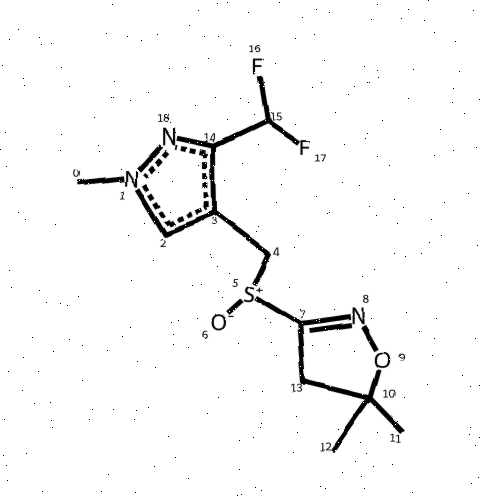 Cn1cc(C[S+]([O-])C2=NOC(C)(C)C2)c(C(F)F)n1